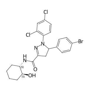 O=C(N[C@H]1CCCC[C@@H]1O)C1=NN(c2ccc(Cl)cc2Cl)C(c2ccc(Br)cc2)C1